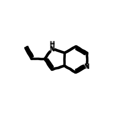 C=CC1=CC2C=NC=CC2N1